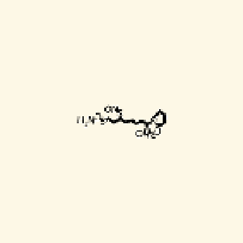 NOSCCC(CCCCC(=O)N1CCCCC1OC=O)SN=O